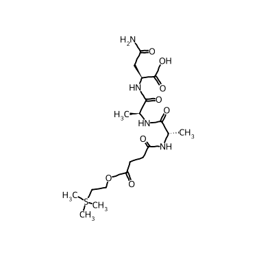 C[C@H](NC(=O)CCC(=O)OCCS(C)(C)C)C(=O)N[C@@H](C)C(=O)N[C@@H](CC(N)=O)C(=O)O